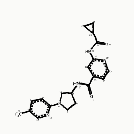 O=C(NC1CCN(c2ccc(C(F)(F)F)cn2)C1)c1ccnc(NC(=O)C2CC2)c1